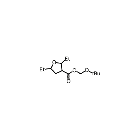 CCC1CC(C(=O)OCOC(C)(C)C)C(CC)O1